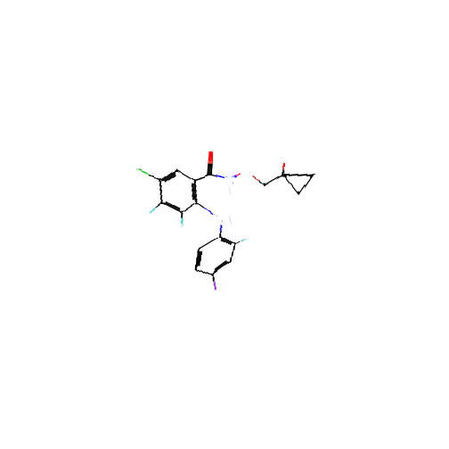 O=C(NOCC1(O)CC1)c1cc(Cl)c(F)c(F)c1Nc1ccc(I)cc1F